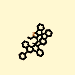 C=Cc1sc2c(c1/C=C\C)C1(c3ccccc3-c3ccc(-c4cc5c6ccccc6c(-c6ccccc6)cc5c5ccccc45)cc31)c1ccccc1-2